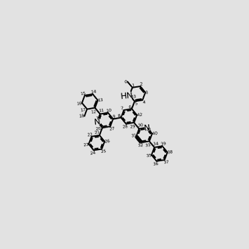 CC1C=CC=C(c2cc(-c3cc(C4=CC=CCC4C)nc(-c4ccccc4)c3)cc(-c3c#cc(-c4ccccc4)cn3)c2)N1